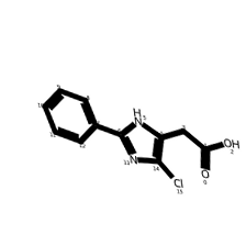 O=C(O)Cc1[nH]c(-c2ccccc2)nc1Cl